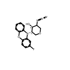 [N-]=[N+]=NC1COC[C@H](N2c3ccccc3Oc3ccc(F)cc32)[C@H]1O